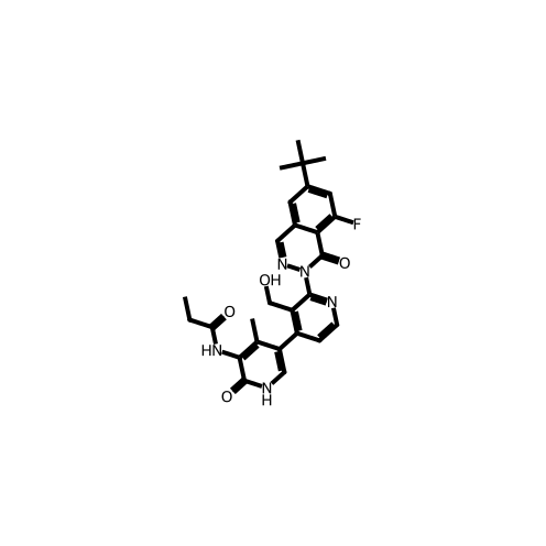 CCC(=O)Nc1c(C)c(-c2ccnc(-n3ncc4cc(C(C)(C)C)cc(F)c4c3=O)c2CO)c[nH]c1=O